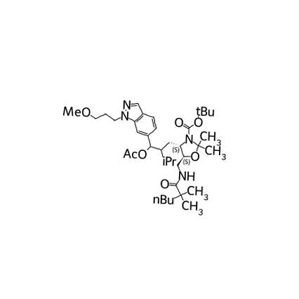 CCCCC(C)(C)C(=O)NC[C@@H]1OC(C)(C)N(C(=O)OC(C)(C)C)[C@H]1CC(C(C)C)C(OC(C)=O)c1ccc2cnn(CCCOC)c2c1